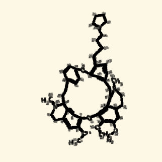 COc1cc2c3cc1Oc1c(OC)c(OC)cc4c1C(Cc1ccc(CCCCN5CCCC5)c(c1)Oc1ccc(cc1)CC3N(C)CC2)N(C)CC4